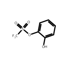 O=S(=O)(Oc1ccccc1O)C(F)(F)F